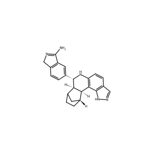 NC1=NCc2ccc([C@@H]3Nc4ccc5cn[nH]c5c4[C@H]4[C@@H]5CCC(C5)[C@H]43)cc21